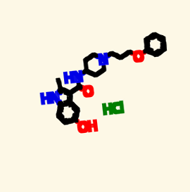 Cc1[nH]c2ccc(O)cc2c1C(=O)NC1CCN(CCCOc2ccccc2)CC1.Cl